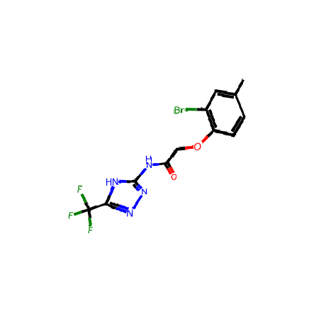 Cc1ccc(OCC(=O)Nc2nnc(C(F)(F)F)[nH]2)c(Br)c1